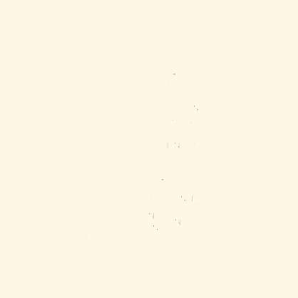 Nc1ncnn2c1c(-c1ccc(NC(=O)c3cccn(-c4ccc(F)cc4)c3=O)cc1F)cc2[C@H]1CC[C@@H](O)CC1